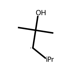 CC(C)[CH]C(C)(C)O